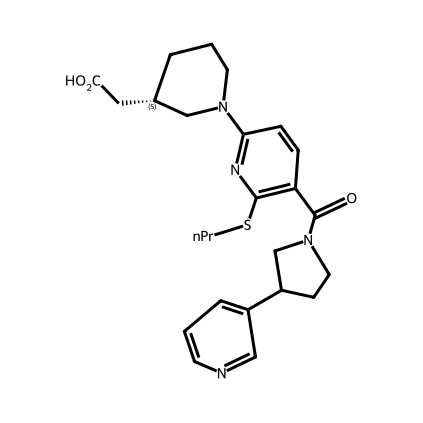 CCCSc1nc(N2CCC[C@@H](CC(=O)O)C2)ccc1C(=O)N1CCC(c2cccnc2)C1